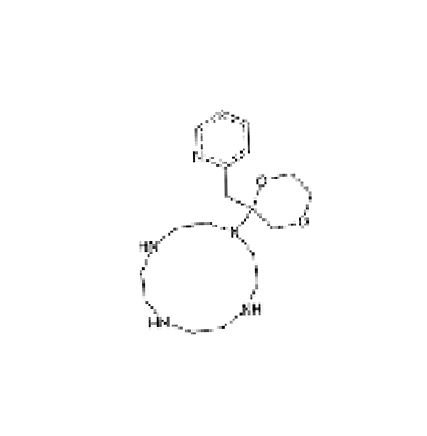 c1ccc(CC2(N3CCNCCNCCNCC3)COCCO2)nc1